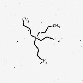 CCCC[N+](CCN)(CCCC)CCCC